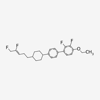 CCOc1ccc(-c2ccc(C3CCC(CCC=C(F)CF)CC3)cc2)c(F)c1F